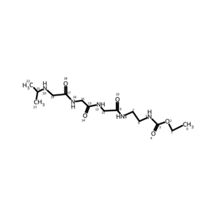 CCOC(=O)NCCNC(=O)CNC(=O)CNC(=O)CNC(C)C